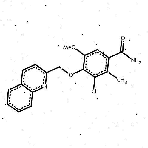 COc1cc(C(N)=O)c(C)c(Cl)c1OCc1ccc2ccccc2n1